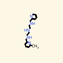 Cc1cccc(CNCCNCCNCc2ccccn2)n1